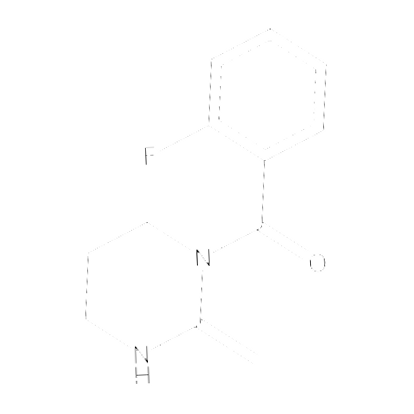 C=C1NCCCN1C(=O)c1ccccc1F